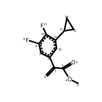 C=C(C(=O)OC)c1cc(F)c(F)c(C2CC2)c1